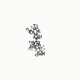 COC(=O)C(C[C@@H]1CC(C)(C)NC1=O)NC(=O)[C@H](CC1CC1)NC(=O)c1cc2c(OC)cc(Cl)c(F)c2[nH]1